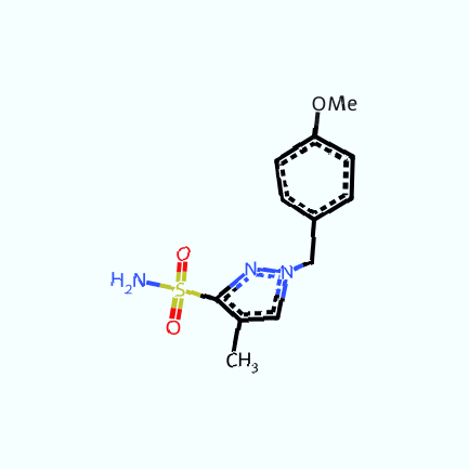 COc1ccc(Cn2cc(C)c(S(N)(=O)=O)n2)cc1